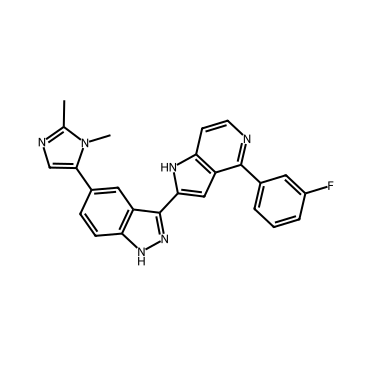 Cc1ncc(-c2ccc3[nH]nc(-c4cc5c(-c6cccc(F)c6)nccc5[nH]4)c3c2)n1C